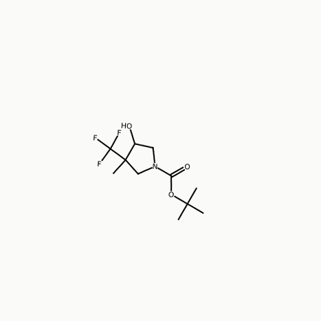 CC(C)(C)OC(=O)N1CC(O)C(C)(C(F)(F)F)C1